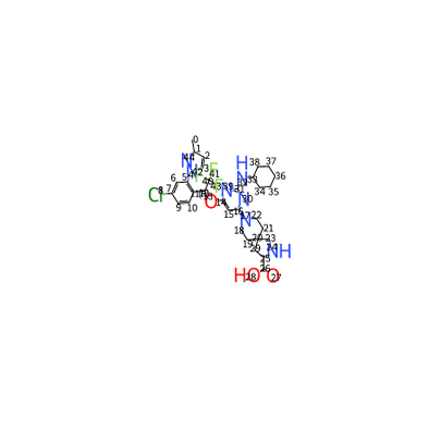 Cc1ccn(-c2cc(Cl)ccc2[C@@H](Oc2cc(N3CCC4(CC3)CNC(C(=O)O)C4)nc(NC3CCCCC3)n2)C(F)(F)F)n1